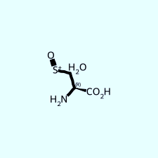 N[C@@H](C[S+]=O)C(=O)O.O